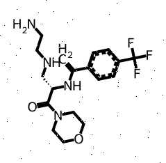 C=C(N[C@@H](CNCCN)C(=O)N1CCOCC1)c1ccc(C(F)(F)F)cc1